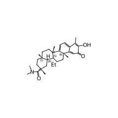 CC[C@@]12CC[C@@]3(C)C4=CC(=O)C(O)=C(C)C4=CC=C3[C@@]1(C)CC[C@@]1(C)CC[C@@](C)(C(=O)N(C)C)C[C@H]12